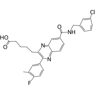 Cc1cc(-c2nc3ccc(C(=O)NCc4cccc(Cl)c4)cc3nc2CCCCC(=O)O)ccc1F